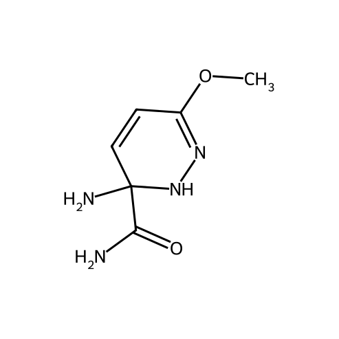 COC1=NNC(N)(C(N)=O)C=C1